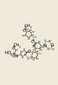 COC[C@H](CO)Nc1ccc2c(c1)Cc1cccc(-c3cc(N4CCOCC4)cc(OCc4ccc(OC)cc4)n3)c1O2